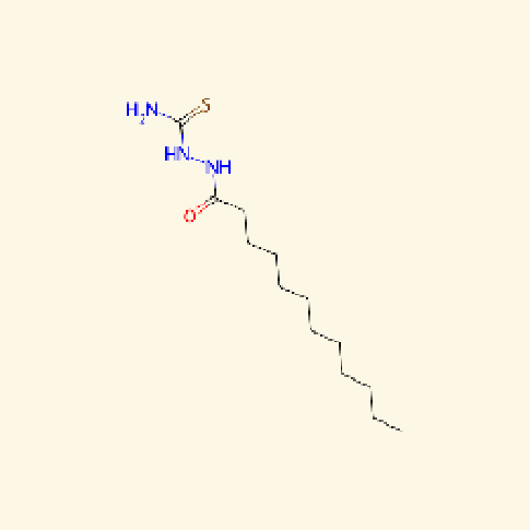 CCCCCCCCCCCC(=O)NNC(N)=S